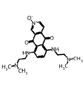 CN(C)CCNc1ccc(NCCN(C)C)c2c1C(=O)c1cc[n+]([O-])cc1C2=O